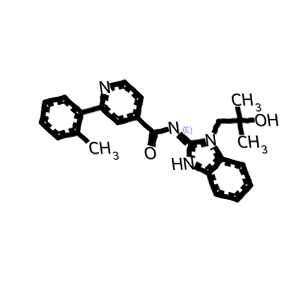 Cc1ccccc1-c1cc(C(=O)/N=c2\[nH]c3ccccc3n2CC(C)(C)O)ccn1